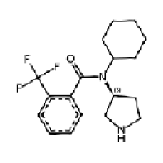 O=C(c1ccccc1C(F)(F)F)N(C1CCCCC1)[C@H]1CCNC1